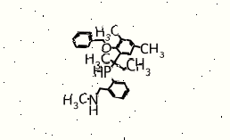 CCC(C)(Pc1ccccc1CNC)c1cc(C)cc(C)c1OCc1ccccc1